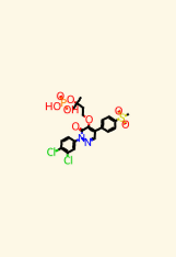 CC(C)(CCOc1c(-c2ccc(S(C)(=O)=O)cc2)cnn(-c2ccc(Cl)c(Cl)c2)c1=O)OP(=O)(O)O